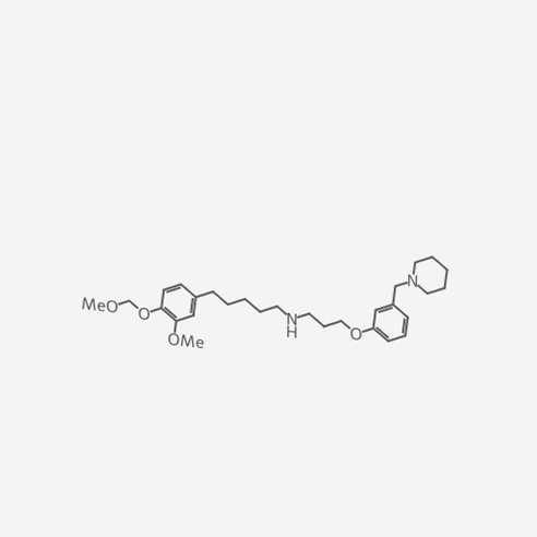 COCOc1ccc(CCCCCNCCCOc2cccc(CN3CCCCC3)c2)cc1OC